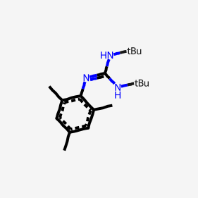 Cc1cc(C)c(N=C(NC(C)(C)C)NC(C)(C)C)c(C)c1